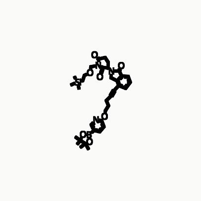 CC1(C)OB(c2ccc(OCCCC#Cc3cccc4c3CN(C3CCC(=O)N(COCC[Si](C)(C)C)C3=O)C4=O)nc2)OC1(C)C